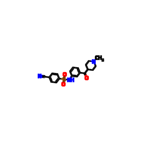 CN1CCC(C(=O)c2cccc(NS(=O)(=O)c3ccc(C#N)cc3)c2)CC1